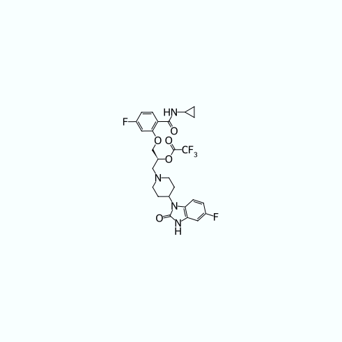 O=C(NC1CC1)c1ccc(F)cc1OC[C@H](CN1CCC(n2c(=O)[nH]c3cc(F)ccc32)CC1)OC(=O)C(F)(F)F